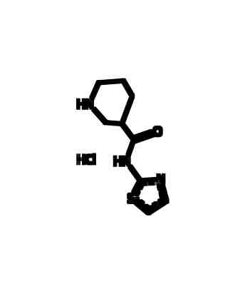 Cl.O=C(Nc1nccs1)C1CCCNC1